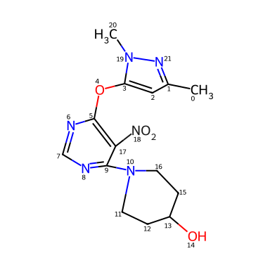 Cc1cc(Oc2ncnc(N3CCC(O)CC3)c2[N+](=O)[O-])n(C)n1